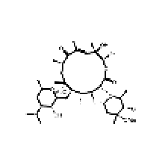 CC[C@H]1OC(=O)[C@H](C)[C@@H](O[C@H]2C[C@@](C)(OC)[C@@H](O)[C@H](C)O2)[C@H](C)[C@@H](C[C@@H]2O[C@H](C)C[C@H](N(C)C)[C@H]2O)[C@](C)(OC)C[C@@H](C)C(=O)/C(C)=C/[C@]1(C)O